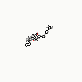 Cc1nc(-c2ccc3c(c2)C2(c4ccccc4Oc4cc(-c5cccc(-c6ccc(-c7cncc(C)c7C)cc6)c5)ccc42)c2ccccc2-3)nc(-c2cccc3ccccc23)n1